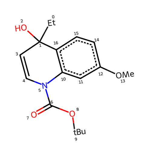 CCC1(O)C=CN(C(=O)OC(C)(C)C)c2cc(OC)ccc21